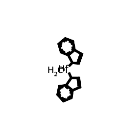 [CH2]=[Hf]([CH]1C=Cc2ccccc21)[CH]1C=Cc2ccccc21